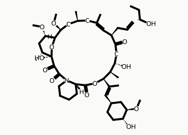 C=CC[C@@H]1/C=C(\C)C[C@H](C)C[C@H](OC)[C@H]2O[C@@](O)(C(=O)C(=O)N3CCCC[C@H]3C(=O)O[C@H](/C(C)=C/[C@@H]3CC[C@@H](O)[C@H](OC)C3)[C@H](C)[C@@H](O)CC1=O)[C@H](C)C[C@@H]2OC.CC[CH]O